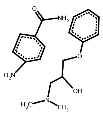 CN(C)CC(O)COc1ccccc1.NC(=O)c1ccc([N+](=O)[O-])cc1